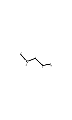 C[CH]CSC